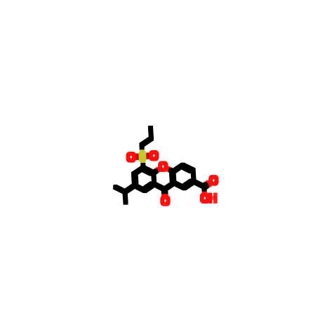 CCCS(=O)(=O)c1cc(C(C)C)cc2c(=O)c3cc(C(=O)O)ccc3oc12